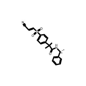 C[C@@H](NC(=O)C(C)(C)c1ccc(S(=O)(=O)C=CC#N)cc1)c1ccccc1